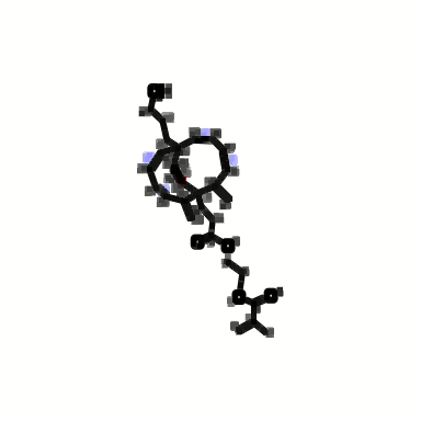 C=C(C)C(=O)OCCOC(=O)CCC12C(=C)/C=C\C=C/C(CCCO)(/C=C\C=C/C1=C)c1ccccc12